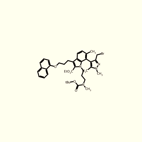 CCOC(=O)c1c(CCCOc2cccc3ccccc23)c2ccc(C)c(-c3c(CBr)nn(C)c3C)c2n1CCCN(C)C(=O)OC(C)(C)C